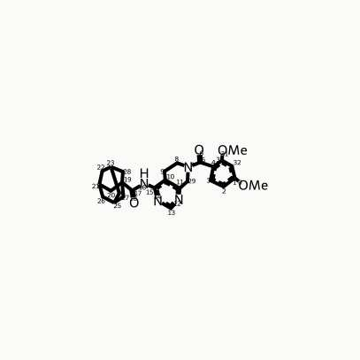 COc1ccc(C(=O)N2CCc3c(ncnc3NC(=O)C34CC5CC(CC(C5)C3)C4)C2)c(OC)c1